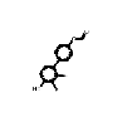 O=COc1ccc(-c2ccc(O)c(F)c2F)cc1